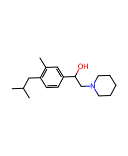 Cc1cc(C(O)CN2CCCCC2)ccc1CC(C)C